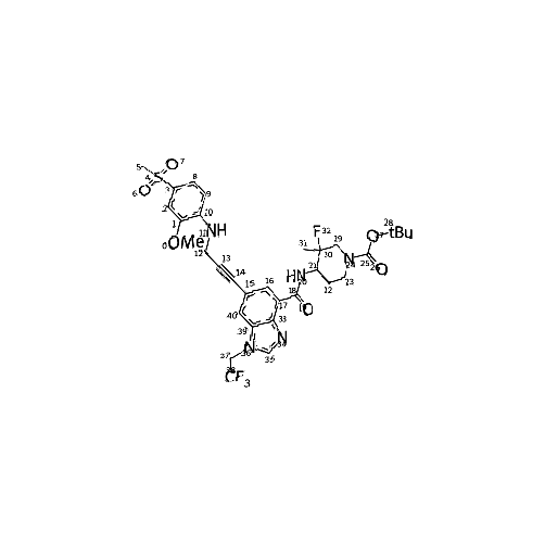 COc1cc(S(C)(=O)=O)ccc1NCC#Cc1cc(C(=O)NC2CCN(C(=O)OC(C)(C)C)CC2(C)F)c2ncn(CC(F)(F)F)c2c1